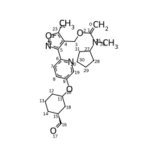 C=C(OCc1c(-c2ccc(OC3CCC[C@H](C=O)C3)cn2)noc1C)N(C)C1CCCC1